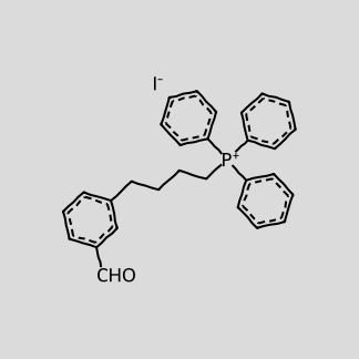 O=Cc1cccc(CCCC[P+](c2ccccc2)(c2ccccc2)c2ccccc2)c1.[I-]